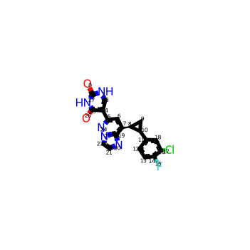 O=c1[nH]cc(-c2cc([C@H]3CC3c3ccc(F)c(Cl)c3)c3nccn3n2)c(=O)[nH]1